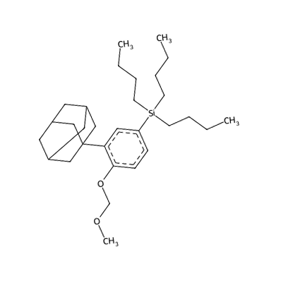 CCCC[Si](CCCC)(CCCC)c1ccc(OCOC)c(C23CC4CC(CC(C4)C2)C3)c1